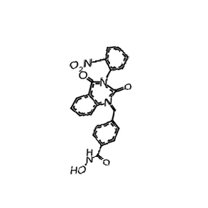 O=C(NO)c1ccc(Cn2c(=O)n(-c3ccccc3[N+](=O)[O-])c(=O)c3ccccc32)cc1